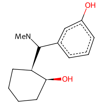 CNC(c1cccc(O)c1)[C@@H]1CCCC[C@@H]1O